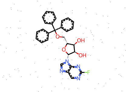 O[C@@H]1[C@H](O)[C@@H](COC(c2ccccc2)(c2ccccc2)c2ccccc2)O[C@H]1n1cnc2cnc(F)nc21